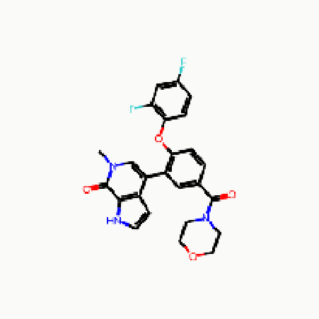 Cn1cc(-c2cc(C(=O)N3CCOCC3)ccc2Oc2ccc(F)cc2F)c2cc[nH]c2c1=O